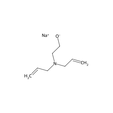 C=CCN(CC=C)CC[O-].[Na+]